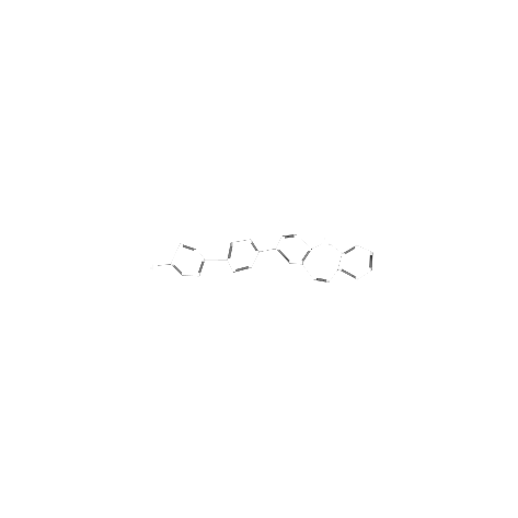 Brc1ccc(-c2ccc(-c3ccc4c(c3)C=Cc3ccccc3S4)cc2)cc1